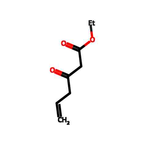 C=CCC(=O)CC(=O)OCC